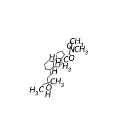 CCC(C)(O)CC[C@H]1CCC[C@@H]2[C@@H]1CC[C@]1(C)[C@@H](C(=O)N(C)OC)CC[C@@H]21